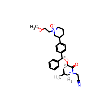 COCC[N+]1([O-])CCCC(c2ccc([C@H](O[C@@H](CC(C)C)C(=O)NCC#N)c3ccccc3)cc2)C1